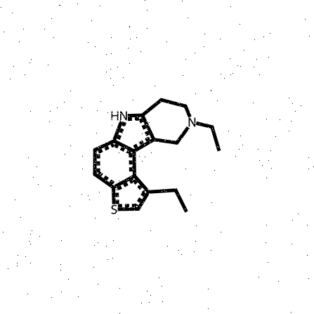 CCc1csc2ccc3[nH]c4c(c3c12)CN(CC)CC4